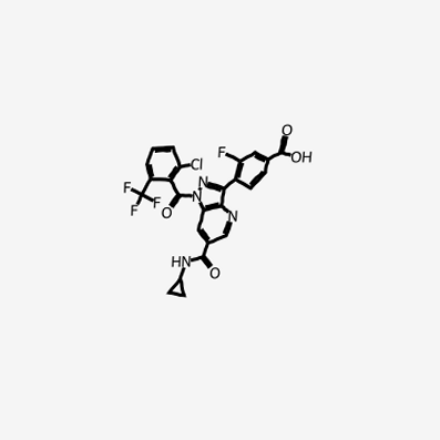 O=C(O)c1ccc(-c2nn(C(=O)c3c(Cl)cccc3C(F)(F)F)c3cc(C(=O)NC4CC4)cnc23)c(F)c1